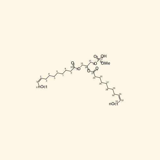 CCCCCCCC/C=C\CCCCCCCC(=O)OCC(COP(=O)(O)OC)OC(=O)CCCCCCC/C=C\CCCCCCCC